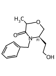 CC1OC[C@@H](CCO)N(Cc2ccccc2)C1=O